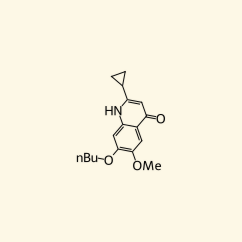 CCCCOc1cc2[nH]c(C3CC3)cc(=O)c2cc1OC